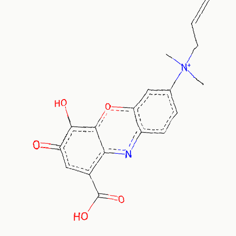 C=CC[N+](C)(C)c1ccc2nc3c(C(=O)O)cc(=O)c(O)c-3oc2c1